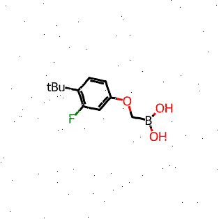 CC(C)(C)c1ccc(OCB(O)O)cc1F